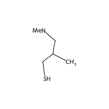 CNCC(C)CS